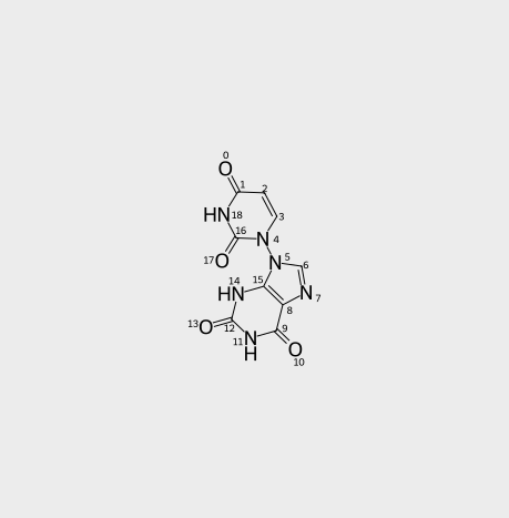 O=c1ccn(-n2cnc3c(=O)[nH]c(=O)[nH]c32)c(=O)[nH]1